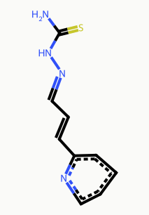 NC(=S)NN=CC=Cc1ccccn1